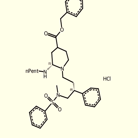 CCCCCN[C@@H]1CC(C(=O)OCc2ccccc2)CCN1CC[C@@H](CN(C)S(=O)(=O)c1ccccc1)c1ccccc1.Cl